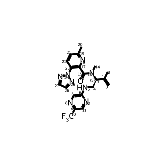 C=C(C)[C@@H](CNc1cnc(C(F)(F)F)cn1)N(C)C(=O)c1nc(C)ccc1-n1nccn1